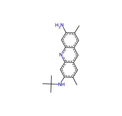 Cc1cc2cc3cc(C)c(NC(C)(C)C)cc3nc2cc1N